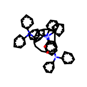 c1ccc(N(c2ccccc2)c2cc3c(N(c4ccccc4)c4ccccc4)cc2CCc2cc(N(c4ccccc4)c4ccccc4)c(cc2N(c2ccccc2)c2ccccc2)CC3)cc1